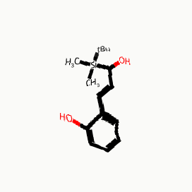 CC(C)(C)[Si](C)(C)C(O)C=Cc1ccccc1O